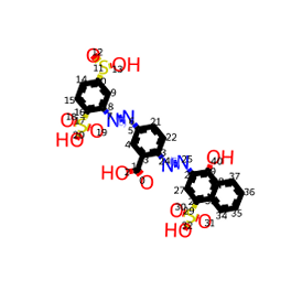 O=C(O)c1cc(/N=N/c2cc(S(=O)O)ccc2S(=O)(=O)O)ccc1/N=N/c1cc(S(=O)(=O)O)c2ccccc2c1O